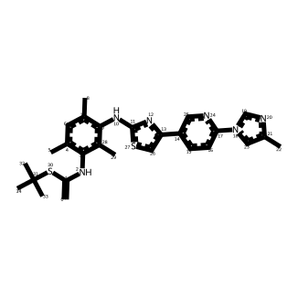 C=C(Nc1c(C)cc(C)c(Nc2nc(-c3ccc(-n4cnc(C)c4)nc3)cs2)c1C)SC(C)(C)C